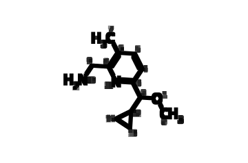 COC(c1ccc(C)c(CN)n1)C1CC1